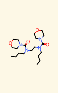 CCCCN(CCN(CCCC)C(=O)N1CCOCC1)C(=O)N1CCOCC1